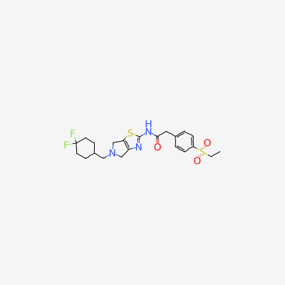 CCS(=O)(=O)c1ccc(CC(=O)Nc2nc3c(s2)CN(CC2CCC(F)(F)CC2)C3)cc1